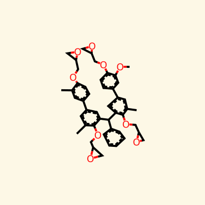 COc1cc(-c2cc(C)c(OCC3CO3)c(C(c3ccccc3)c3cc(-c4ccc(OCC5CO5)c(C)c4)cc(C)c3OCC3CO3)c2)ccc1OCC1CO1